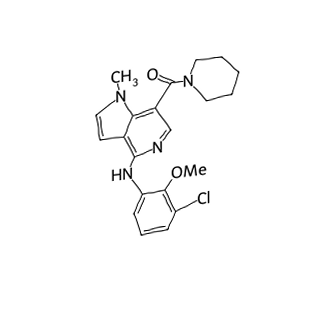 COc1c(Cl)cccc1Nc1ncc(C(=O)N2CCCCC2)c2c1ccn2C